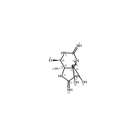 CC[C@H]1NC(=N)N2CCC(O)(O)[C@@]23NC(=N)N[C@@H]13